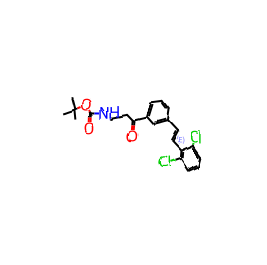 CC(C)(C)OC(=O)NCCC(=O)c1cccc(/C=C/c2c(Cl)cccc2Cl)c1